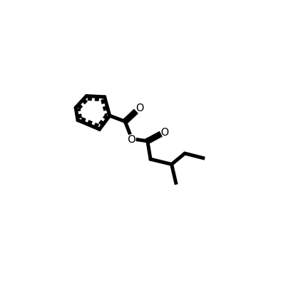 CCC(C)CC(=O)OC(=O)c1ccccc1